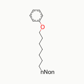 CCCCCCCCCCCCCCCCOc1ccccc1